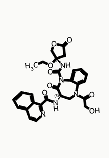 CCO[C@]1(NC(=O)N2C(=O)[C@@H](NC(=O)c3nccc4ccccc34)CN(C(=O)CO)c3ccccc32)COC(=O)C1